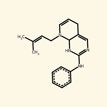 CC(C)=CCN1C=CCC2=CN=C(Nc3ccccc3)NC21